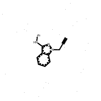 C#CCn1nc(NC(C)C)c2ccccc21